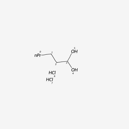 CCCCCC(O)O.Cl.Cl